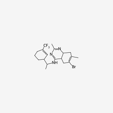 CC1=NC2CC(C)=C(Br)CC2C(NC(C)C2C=C(C(F)(F)F)CCC2)=N1